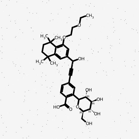 CCOCCOc1cc(C(O)C#Cc2ccc(C(=O)O)c(C3O[C@H](CO)[C@@H](O)[C@H](O)[C@H]3O)c2)cc2c1C(C)(C)CCC2(C)C